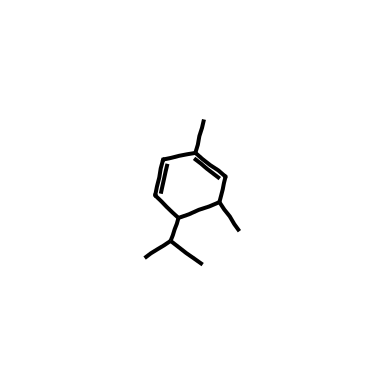 CC1=CC(C)C(C(C)C)C=C1